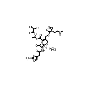 CCC(CC)C(=O)OC(C)OC(=O)C1=C(CSc2nnnn2CCN(C)C)CS[C@H]2[C@H](NC(=O)Cc3csc(N)n3)C(=O)N12.Cl.Cl